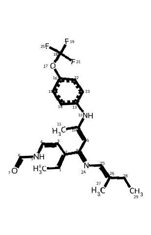 C/C=C(\C=C/NC=O)C(/C=C(\C)Nc1ccc(OC(F)(F)F)cc1)=N/C=C(\C)CC